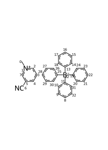 C[n+]1cccc(C#N)c1.c1ccc([B-](c2ccccc2)(c2ccccc2)c2ccccc2)cc1